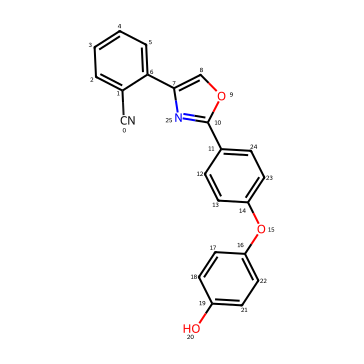 N#Cc1ccccc1-c1coc(-c2ccc(Oc3ccc(O)cc3)cc2)n1